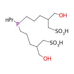 CCCP(CCCC(CO)CS(=O)(=O)O)CCCC(CO)CS(=O)(=O)O